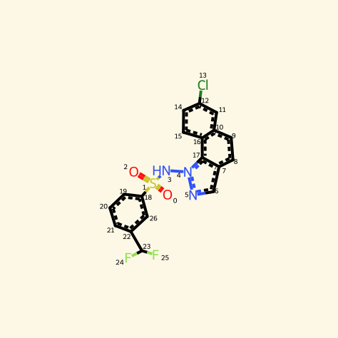 O=S(=O)(Nn1ncc2ccc3cc(Cl)ccc3c21)c1cccc(C(F)F)c1